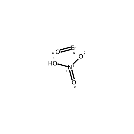 O=[N+]([O-])O.[O]=[Er]